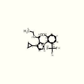 CCOC(=O)c1c(C2CC2)cnn1-c1c(Cl)cccc1C(F)(F)F